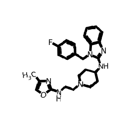 Cc1coc(NCCN2CCC(Nc3nc4ccccc4n3Cc3ccc(F)cc3)CC2)n1